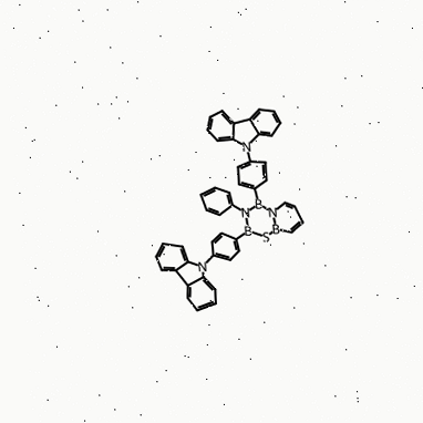 C1=CB2SB(c3ccc(-n4c5ccccc5c5ccccc54)cc3)N(c3ccccc3)B(c3ccc(-n4c5ccccc5c5ccccc54)cc3)N2C=C1